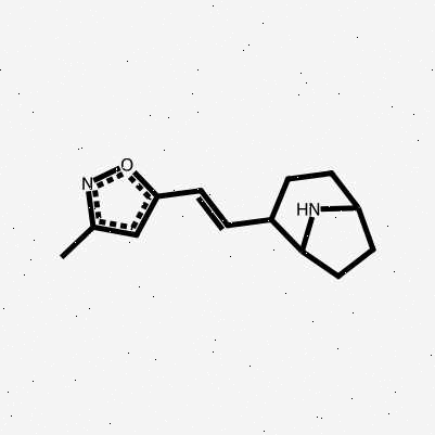 Cc1cc(C=CC2CCC3CCC2N3)on1